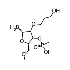 B[C@@H]1O[C@H](COC)C(OP(C)(=O)O)C1OCCCO